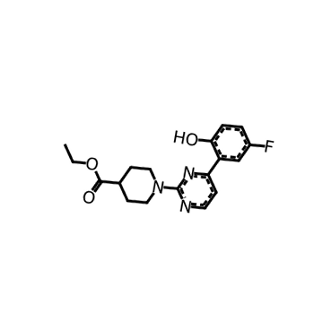 CCOC(=O)C1CCN(c2nccc(-c3cc(F)ccc3O)n2)CC1